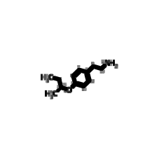 CC[C@H](C)Oc1ccc(CCN)cc1